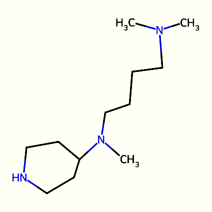 CN(C)CCCCN(C)C1CCNCC1